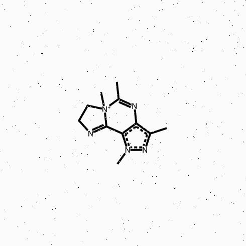 CC1=Nc2c(C)nn(C)c2C2=NCC[N+]12C